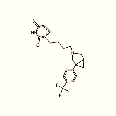 O=c1[nH]c(=S)ccn1CCCCN1CC2CC2(c2ccc(C(F)(F)F)cc2)C1